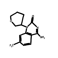 Nc1nc(=O)n(C2CCCOC2)c2cc(C(F)(F)F)ccc12